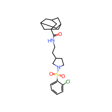 O=C(NCCC1CCN(S(=O)(=O)c2ccccc2Cl)C1)C12CC3CC(CC(C3)C1)C2